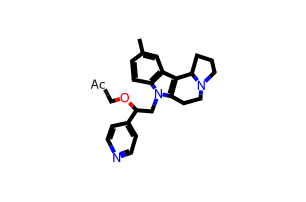 CC(=O)COC(Cn1c2c(c3cc(C)ccc31)C1CCCN1CC2)c1ccncc1